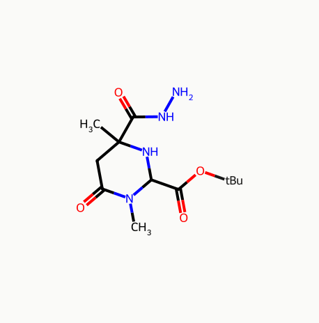 CN1C(=O)CC(C)(C(=O)NN)NC1C(=O)OC(C)(C)C